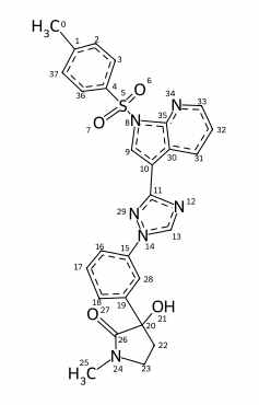 Cc1ccc(S(=O)(=O)n2cc(-c3ncn(-c4cccc(C5(O)CCN(C)C5=O)c4)n3)c3cccnc32)cc1